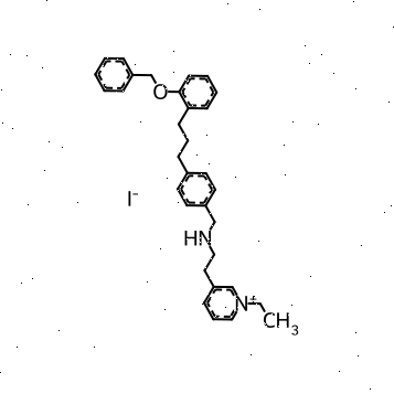 CC[n+]1cccc(CCNCc2ccc(CCCc3ccccc3OCc3ccccc3)cc2)c1.[I-]